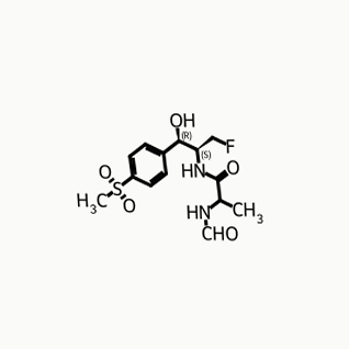 CC(NC=O)C(=O)N[C@H](CF)[C@H](O)c1ccc(S(C)(=O)=O)cc1